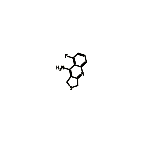 Nc1c2c(nc3cccc(F)c13)CSC2